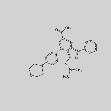 CN(C)Cc1nn(-c2ccccc2)c2nc(C(=O)O)cc(-c3ccc(N4CCOCC4)cc3)c12